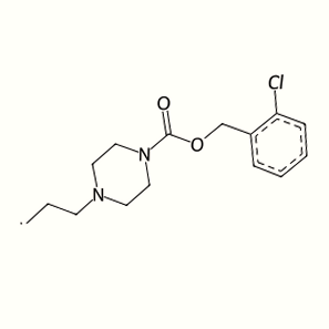 [CH2]CCN1CCN(C(=O)OCc2ccccc2Cl)CC1